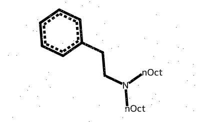 CCCCCCCCN(CCCCCCCC)CCc1ccccc1